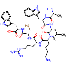 CC(C)C[C@H](NC(=O)[C@H](Cc1c[nH]c2ccccc12)NC(=O)[C@H](C)N)C(=O)N[C@@H](CCCCN)C(=O)N[C@@H](CCCNC(=N)N)C(=O)N[C@@H](CS)C(=O)N[C@@H](Cc1c[nH]c2ccccc12)C(=O)O